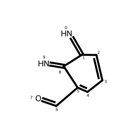 N=C1C=CC=C(C=O)C1=N